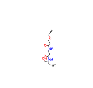 C#CCOCCC(=O)NCCC(=O)NC(CO)CC(C)C